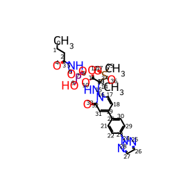 CCCC(=O)NOP(=O)(O)OC(=O)[C@](C)(Nn1ccc(-c2ccc(-n3nccn3)cc2)cc1=O)S(C)(=O)=O